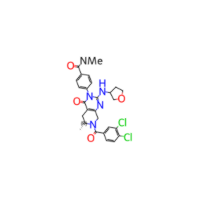 CNC(=O)c1ccc(-n2c(NC3CCOC3)nc3c(c2=O)C[C@@H](C)N(C(=O)c2ccc(Cl)c(Cl)c2)C3)cc1